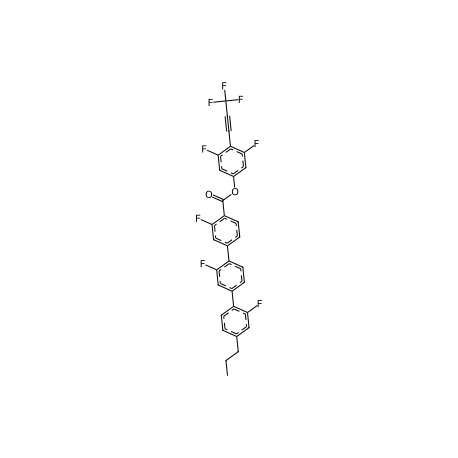 CCCc1ccc(-c2ccc(-c3ccc(C(=O)Oc4cc(F)c(C#CC(F)(F)F)c(F)c4)c(F)c3)c(F)c2)c(F)c1